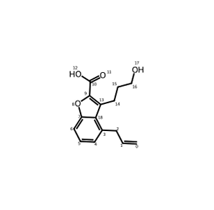 C=CCc1cccc2oc(C(=O)O)c(CCCO)c12